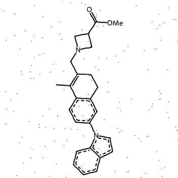 COC(=O)C1CN(CC2=C(C)c3ccc(-n4ccc5ccccc54)cc3CC2)C1